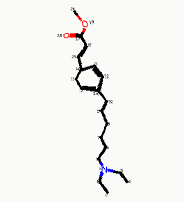 CCN(CC)CCCCCCC1=CCC(C=CC(=O)OC)C=C1